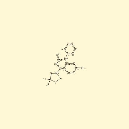 O=c1nc(N2CCC(F)(F)C2)c2ccc(Cl)cc2n1-c1ccccc1